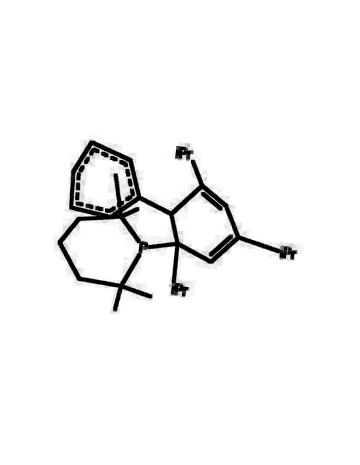 CC(C)C1=CC(C(C)C)(P2C(C)(C)CCCC2(C)C)C(c2ccccc2)C(C(C)C)=C1